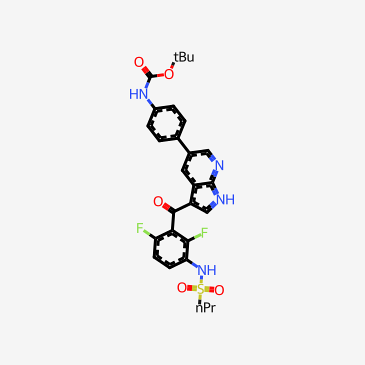 CCCS(=O)(=O)Nc1ccc(F)c(C(=O)c2c[nH]c3ncc(-c4ccc(NC(=O)OC(C)(C)C)cc4)cc23)c1F